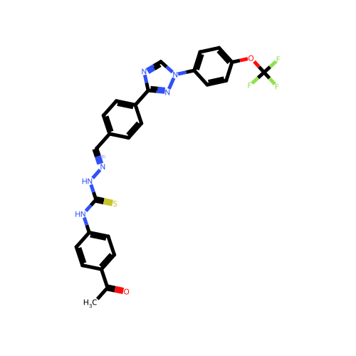 CC(=O)c1ccc(NC(=S)N/N=C/c2ccc(-c3ncn(-c4ccc(OC(F)(F)F)cc4)n3)cc2)cc1